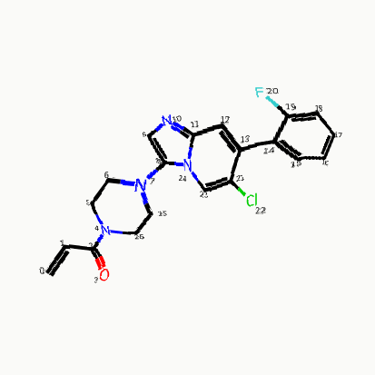 C=CC(=O)N1CCN(c2cnc3cc(-c4ccccc4F)c(Cl)cn23)CC1